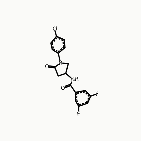 O=C(NC1CC(=O)N(c2ccc(Cl)cc2)C1)c1cc(F)cc(F)c1